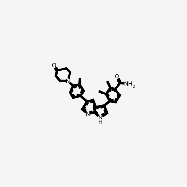 Cc1cc(-c2cnc3[nH]cc(-c4ccc(C(N)=O)c(C)c4C)c3c2)ccc1N1CCC(=O)CC1